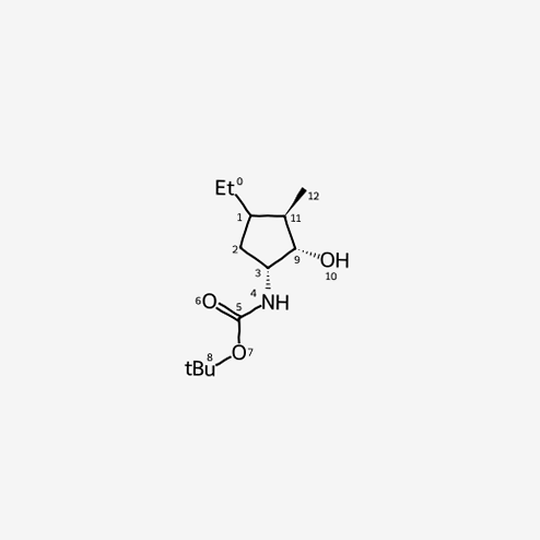 CCC1C[C@@H](NC(=O)OC(C)(C)C)[C@@H](O)[C@@H]1C